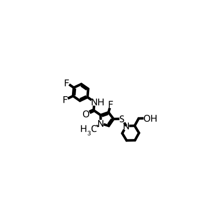 Cn1cc(SN2CCCCC2CO)c(F)c1C(=O)Nc1ccc(F)c(F)c1